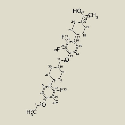 CCOc1ccc(C2CCC(COc3ccc(C4CCC(C(C)O)CC4)c(F)c3F)CC2)c(F)c1F